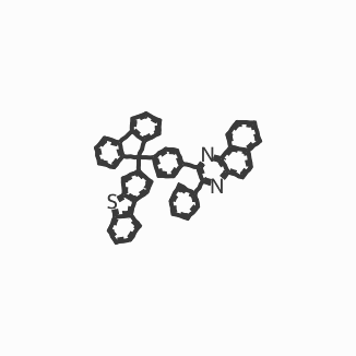 c1ccc(-c2nc3ccc4ccccc4c3nc2-c2ccc(C3(c4ccc5c(c4)sc4ccccc45)c4ccccc4-c4ccccc43)cc2)cc1